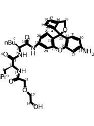 CCCC[C@H](NC(=O)[C@H](CC(C)C)NC(=O)COCCO)C(=O)Nc1ccc2c(c1)Oc1cc(N)ccc1C21OCc2ccccc21